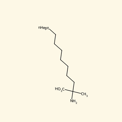 CCCCCCCCCCCCCCC(C)(N)C(=O)O